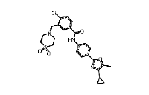 Cc1oc(-c2ccc(NC(=O)c3ccc(Cl)c(CN4CCS(=O)(=O)CC4)c3)cc2)nc1C1CC1